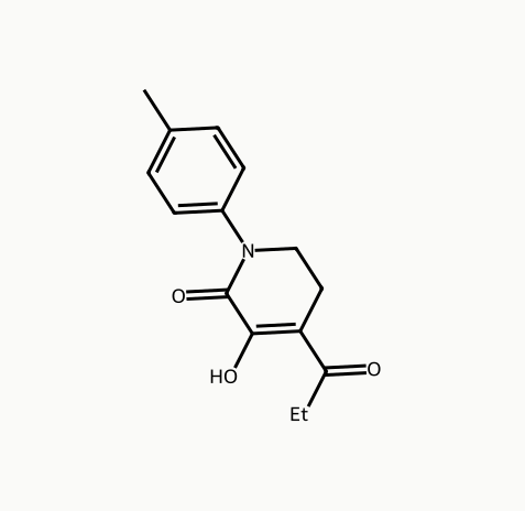 CCC(=O)C1=C(O)C(=O)N(c2ccc(C)cc2)CC1